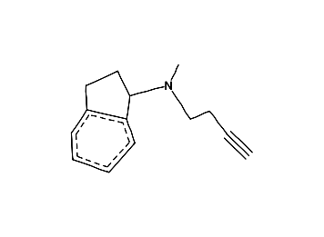 C#CCCN(C)C1CCc2ccccc21